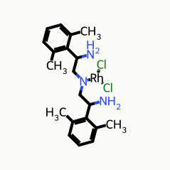 Cc1cccc(C)c1C(N)C[N](CC(N)c1c(C)cccc1C)[Rh]([Cl])[Cl]